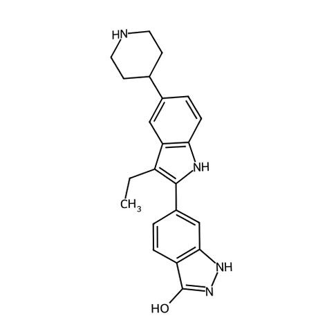 CCc1c(-c2ccc3c(O)n[nH]c3c2)[nH]c2ccc(C3CCNCC3)cc12